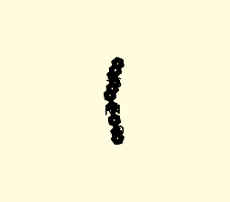 c1ccc2cc3c(cc2c1)sc1c2cc4ccc(-c5cnc(-c6ccc(-c7cc8ccccc8o7)cc6)nc5)cc4cc2sc31